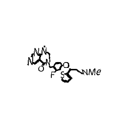 CNCCC(Oc1ccc(CN2CCN(C)c3ncncc3C2=O)c(F)c1)c1cccs1